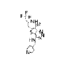 N[C@H](Cc1sc2c(NCc3ccncc3)nnnc2c1Br)CC(F)(F)F